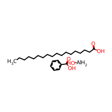 CCCCCCCCCCCCCCCCCC(=O)O.O=C(O)c1ccccc1.[OH][AlH2]